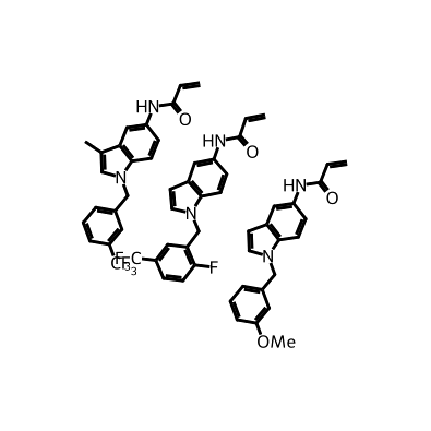 C=CC(=O)Nc1ccc2c(c1)c(C)cn2Cc1cccc(C(F)(F)F)c1.C=CC(=O)Nc1ccc2c(ccn2Cc2cc(C(F)(F)F)ccc2F)c1.C=CC(=O)Nc1ccc2c(ccn2Cc2cccc(OC)c2)c1